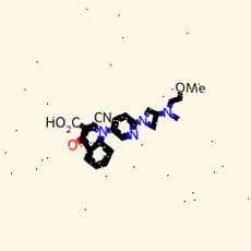 COCCN(C)C1CN(c2ccc(-n3c(C#N)c(C(=O)O)c(=O)c4ccccc43)cn2)C1